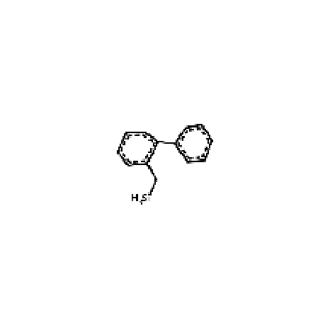 [SiH3]Cc1ccccc1-c1ccccc1